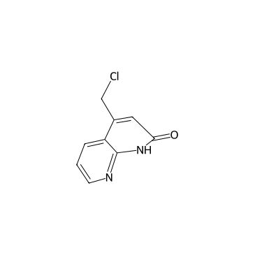 O=c1cc(CCl)c2cccnc2[nH]1